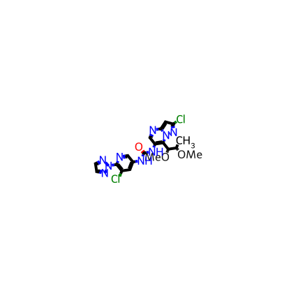 COC(C)C(OC)c1c(NC(=O)Nc2cnc(-n3nccn3)c(Cl)c2)cnc2cc(Cl)nn12